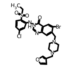 CCS(=O)(=O)c1ccc(Cl)cc1Nn1cnc2cc(CN3CCN(Cc4ccoc4)CC3)c(Br)cc2c1=O